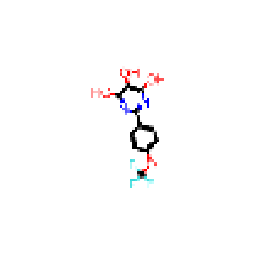 Oc1nc(-c2ccc(OC(F)(F)F)cc2)nc(O)c1O